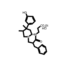 CCOC(=O)CCNC(=O)C(Cc1ccccc1)CN1CCC(C)(c2cccc(O)c2)C(C)C1.Cl